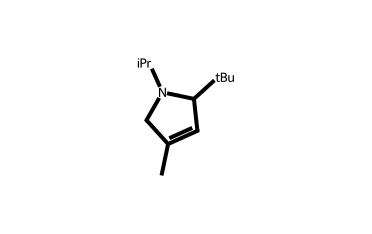 CC1=CC(C(C)(C)C)N(C(C)C)C1